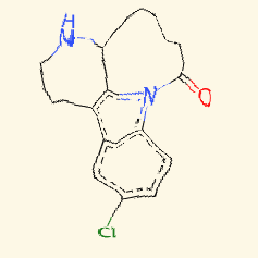 O=C1CCCC2NCCc3c2n1c1ccc(Cl)cc31